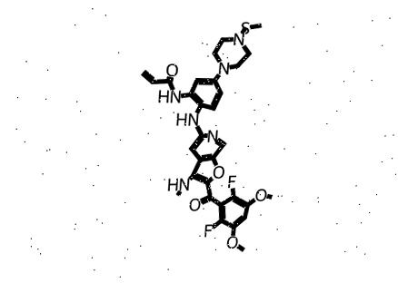 C=CC(=O)Nc1cc(N2CCN(SC)CC2)ccc1Nc1cc2c(NC)c(C(=O)c3c(F)c(OC)cc(OC)c3F)oc2cn1